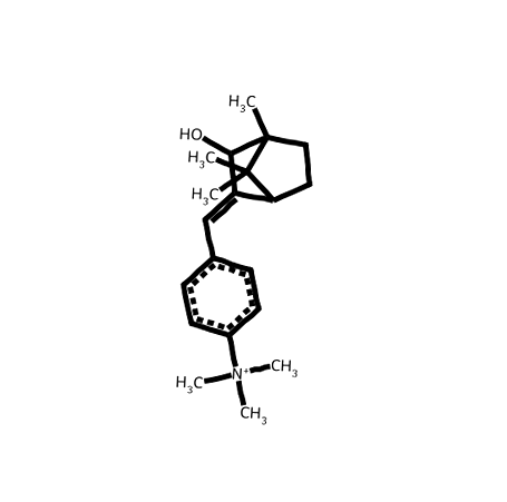 CC1(C)C2CCC1(C)C(O)/C2=C/c1ccc([N+](C)(C)C)cc1